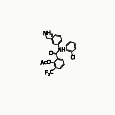 CC(=O)Oc1c(C(=O)Nc2cccc(CN)c2)cccc1C(F)(F)F.Clc1ccccc1